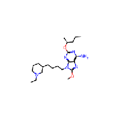 CCC[C@H](C)Oc1nc(N)c2nc(OC)n(CCCCC3CCCN(CC)C3)c2n1